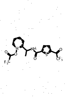 CC(NC(=O)c1ccc(C(=O)C(F)(F)F)s1)c1cccc[n+]1OC(=O)C(F)(F)F